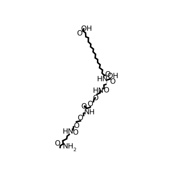 CC(=O)[C@@H](N)CCCCNC(=O)COCCOCCNC(=O)COCCOCCNC(=O)CC[C@H](NC(=O)CCCCCCCCCCCCCCCCC(=O)O)C(=O)O